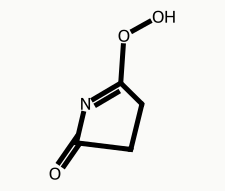 O=C1CCC(OO)=N1